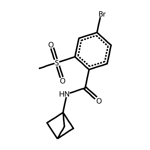 CS(=O)(=O)c1cc(Br)ccc1C(=O)NC12CC(C1)C2